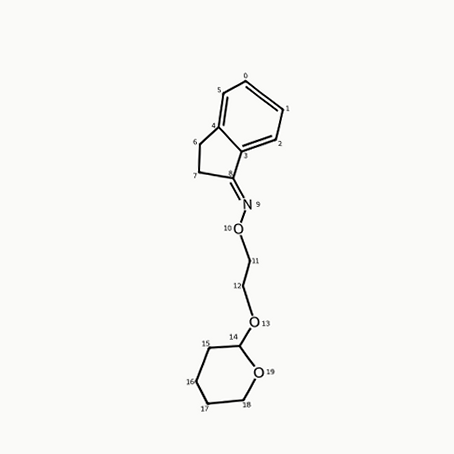 c1ccc2c(c1)CCC2=NOCCOC1CCCCO1